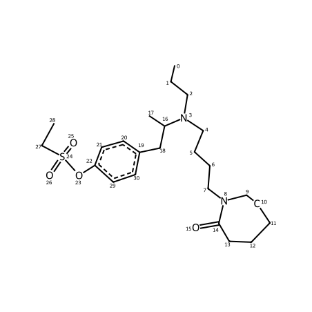 CCCN(CCCCN1CCCCCC1=O)C(C)Cc1ccc(OS(=O)(=O)CC)cc1